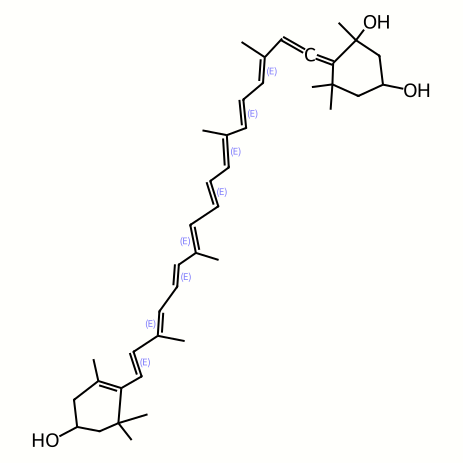 CC1=C(/C=C/C(C)=C/C=C/C(C)=C/C=C/C=C(C)/C=C/C=C(\C)C=C=C2C(C)(C)CC(O)CC2(C)O)C(C)(C)CC(O)C1